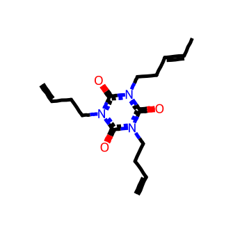 C=CCCn1c(=O)n(CCC=C)c(=O)n(CC/C=C/C)c1=O